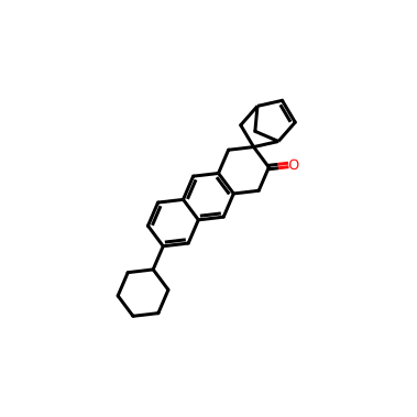 O=C1Cc2cc3cc(C4CCCCC4)ccc3cc2CC12CC1C=CC2C1